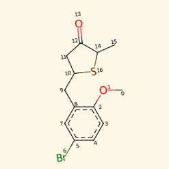 COc1ccc(Br)cc1CC1CC(=O)C(C)S1